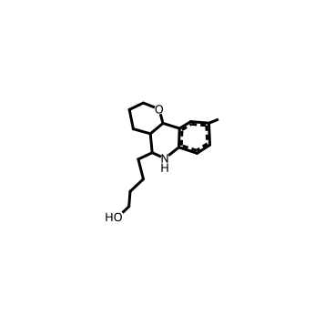 Cc1ccc2c(c1)C1OCCCC1C(CCCCO)N2